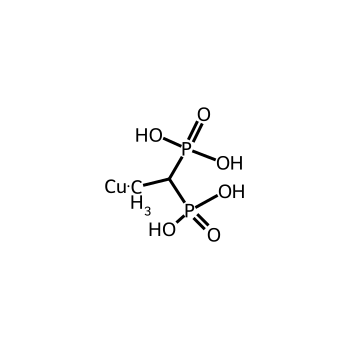 CC(P(=O)(O)O)P(=O)(O)O.[Cu]